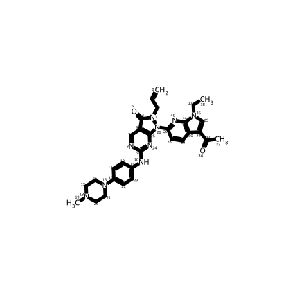 C=CCn1c(=O)c2cnc(Nc3ccc(N4CCN(C)CC4)cc3)nc2n1-c1ccc2c(C(C)=O)cn(CC)c2n1